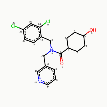 O=C(C1CCC(O)CC1)N(Cc1cccnc1)Cc1ccc(Cl)cc1Cl